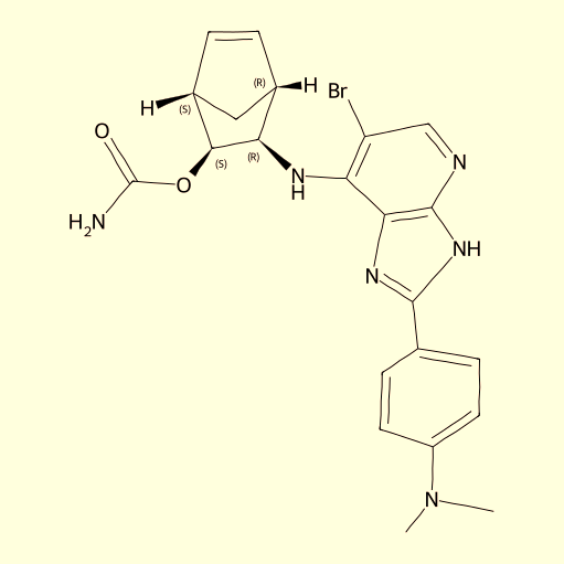 CN(C)c1ccc(-c2nc3c(N[C@H]4[C@@H](OC(N)=O)[C@@H]5C=C[C@H]4C5)c(Br)cnc3[nH]2)cc1